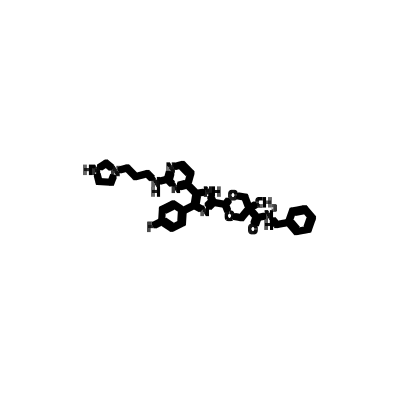 CC1(C(=O)NCc2ccccc2)COC(c2nc(-c3ccc(F)cc3)c(-c3ccnc(NCCCN4CCNC4)n3)[nH]2)OC1